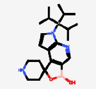 CC(C)[Si](C(C)C)(C(C)C)n1ccc2c3c(cnc21)B(O)OC31CCNCC1